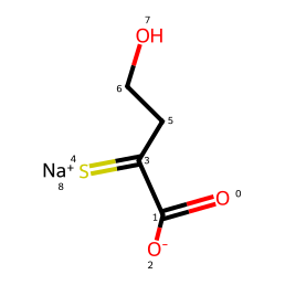 O=C([O-])C(=S)CCO.[Na+]